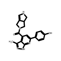 Cc1n[nH]c2nc(-c3ccc(O)cc3)cc(C(=O)N3CC4=CNCC4C3)c12